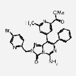 COC(=O)c1cc(-c2c(-c3ccccc3)nc(N)n3c(=O)n(Cc4ccc(Br)cn4)nc23)cc(C)n1